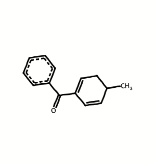 CC1C=CC(C(=O)c2ccccc2)=CC1